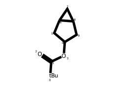 CC(C)(C)C(=O)OC1CC2CC2C1